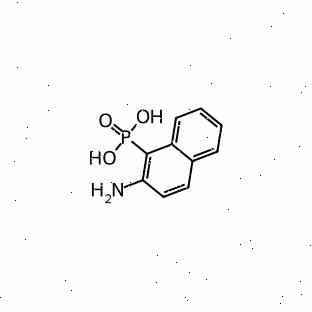 Nc1ccc2ccccc2c1P(=O)(O)O